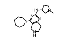 CN1CCC(Nc2nc3c(c(N4CCCCCC4)n2)CNCC3)C1